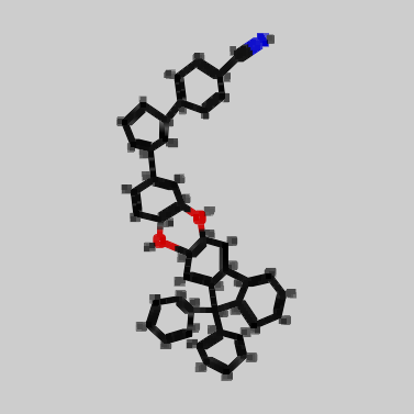 N#Cc1ccc(-c2cccc(-c3ccc4c(c3)Oc3cc5c(cc3O4)C(c3ccccc3)(c3ccccc3)c3ccccc3-5)c2)cc1